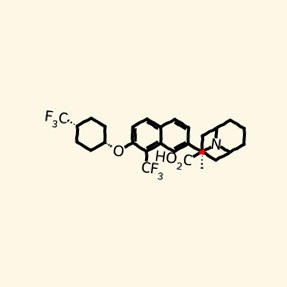 C[C@H](c1ccc2ccc(O[C@H]3CC[C@@H](C(F)(F)F)CC3)c(C(F)(F)F)c2c1)N1C2CCCC1CC(C(=O)O)C2